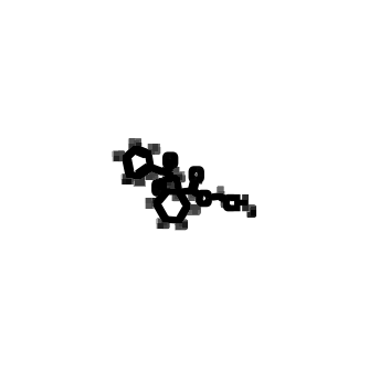 CCOC(=O)C1(CS(=O)(=O)c2ccccc2)CCCCC1